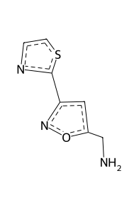 NCc1cc(-c2nccs2)no1